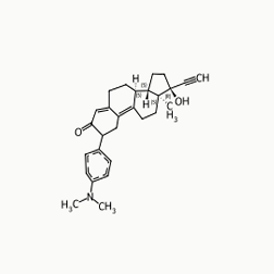 C#C[C@@]1(O)CC[C@H]2[C@@H]3CCC4=CC(=O)C(c5ccc(N(C)C)cc5)CC4=C3CC[C@@]21C